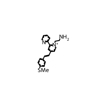 CSc1ccc(/C=C/c2cc[n+](CCN)c(-c3ccccn3)c2)cc1